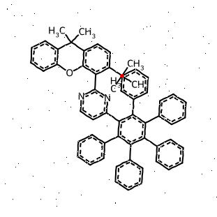 CC(C)(C)c1ccc2c(c1-c1nccc(-c3c(-c4ccccc4)c(-c4ccccc4)c(-c4ccccc4)c(-c4ccccc4)c3-c3ccccc3)n1)Oc1ccccc1C2(C)C